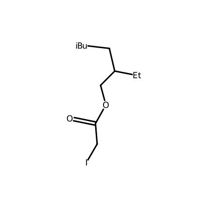 CCC(C)CC(CC)COC(=O)CI